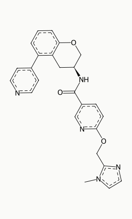 Cn1ccnc1COc1ccc(C(=O)N[C@@H]2COc3cccc(-c4ccncc4)c3C2)cn1